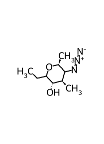 CCC1O[C@@H](C)C(N=[N+]=[N-])[C@@H](C)[C@@H]1O